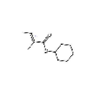 C/C=C(\C)C(=O)OC1CCCCC1